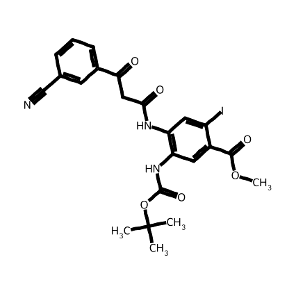 COC(=O)c1cc(NC(=O)OC(C)(C)C)c(NC(=O)CC(=O)c2cccc(C#N)c2)cc1I